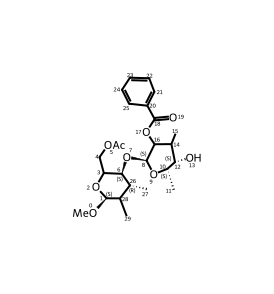 CO[C@H]1OC(COC(C)=O)[C@@H](O[C@@H]2O[C@@H](C)[C@@H](O)C(C)C2OC(=O)c2ccccc2)[C@H](C)C1C